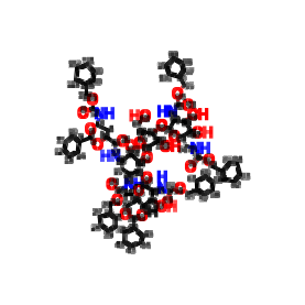 O=C(NCC[C@H](OC(=O)c1ccccc1)C(=O)N[C@@H]1C[C@H](NC(=O)OCc2ccccc2)[C@@H](O[C@H]2O[C@@H]3COC(c4ccccc4)O[C@H]3[C@H](O)[C@H]2NC(=O)OCc2ccccc2)[C@H](O[C@@H]2O[C@H](CO)[C@@H](O[C@H]3O[C@@H](CNC(=O)OCc4ccccc4)[C@@H](O)[C@H](O)[C@H]3NC(=O)OCc3ccccc3)[C@H]2O)[C@H]1O)OCc1ccccc1